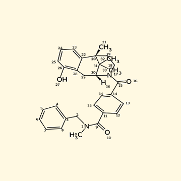 CN(Cc1ccccc1)C(=O)c1ccc(C(=O)N2CC[C@@]3(C)c4cccc(O)c4C[C@@H]2C3(C)C)cc1